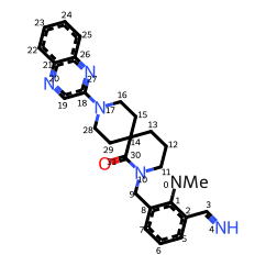 CNc1c(C=N)cccc1CN1CCCC2(CCN(c3cnc4ccccc4n3)CC2)C1=O